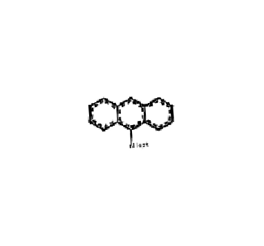 [CH2]CCCCCCc1c2ccccc2cc2ccccc12